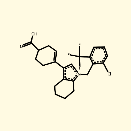 O=C(O)C1CC=C(c2cn(Cc3c(Cl)cccc3C(F)(F)F)c3c2CCCC3)CC1